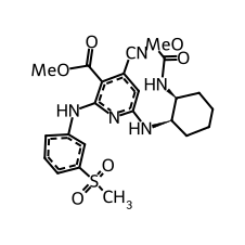 COC(=O)N[C@H]1CCCC[C@H]1Nc1cc(C#N)c(C(=O)OC)c(Nc2cccc(S(C)(=O)=O)c2)n1